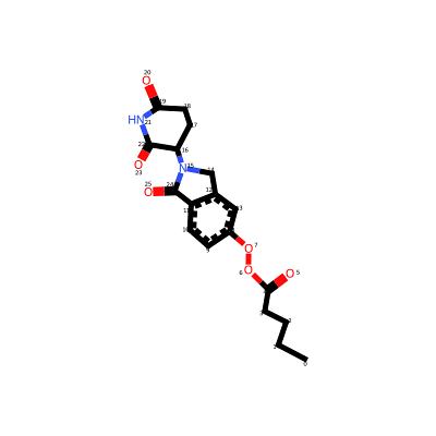 CCCCC(=O)OOc1ccc2c(c1)CN(C1CCC(=O)NC1=O)C2=O